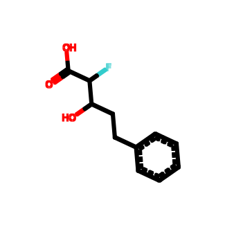 O=C(O)C(F)C(O)CCc1ccccc1